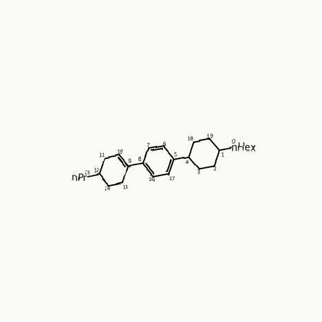 CCCCCCC1CCC(c2ccc(C3=CCC(CCC)CC3)cc2)CC1